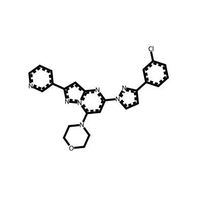 Clc1cccc(-c2ccn(-c3cc(N4CCOCC4)n4nc(-c5cccnc5)cc4n3)n2)c1